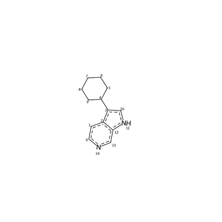 c1cc2c(C3CCCCC3)c[nH]c2cn1